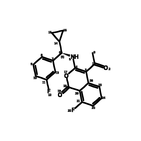 CC(=O)c1c(N[C@H](c2cccc(F)c2)C2CC2)oc(=O)c2c(F)cccc12